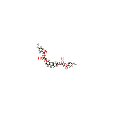 C=Cc1ccc(C(=O)OCC(O)COc2ccc(Cc3ccc(OCC(O)COC(=O)c4ccc(C=C)cc4)cc3)cc2)cc1